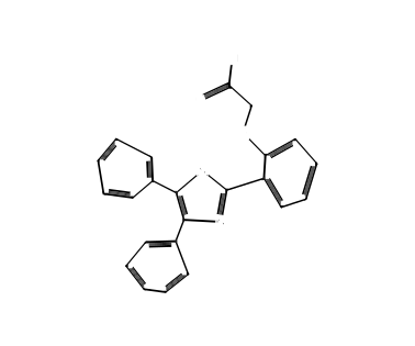 C=C(C)COc1ccccc1-c1nc(-c2ccccc2)c(-c2ccccc2)[nH]1